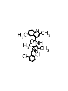 Cc1ccc2nc(C)cc(C(=O)Nc3c(C)nn(Cc4c(Cl)cccc4Cl)c3C)c2c1